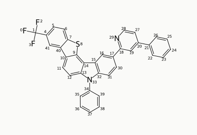 FC(F)(F)c1ccc2sc3c(ccc4c3c3cc(-c5cc(-c6ccccc6)ccn5)ccc3n4-c3ccccc3)c2c1